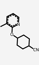 Cc1cccnc1OC1CCC(C#N)CC1